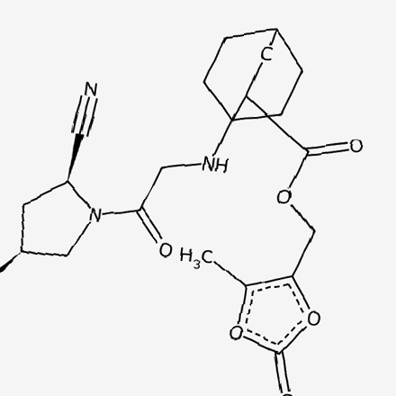 Cc1oc(=O)oc1COC(=O)C1CC2CCC1(NCC(=O)N1C[C@@H](F)C[C@H]1C#N)CC2